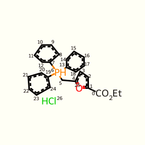 CCOC(=O)c1ccc(C[PH](c2ccccc2)(c2ccccc2)c2ccccc2)o1.Cl